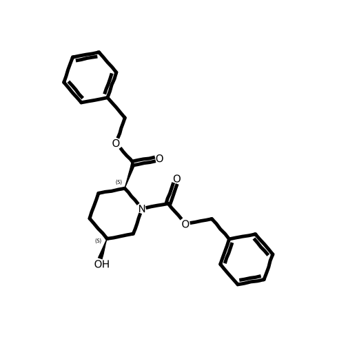 O=C(OCc1ccccc1)[C@@H]1CC[C@H](O)CN1C(=O)OCc1ccccc1